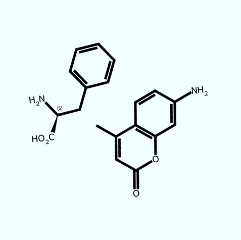 Cc1cc(=O)oc2cc(N)ccc12.N[C@@H](Cc1ccccc1)C(=O)O